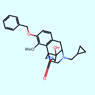 COc1c(OCc2ccccc2)ccc2c1C13CCN(CC4CC4)C(C2)C1(O)CCC(=O)NC3